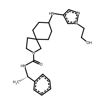 C[C@H](NC(=O)N1CCC2(CCC(Nc3cnn(CCO)c3)CC2)C1)c1ccccc1